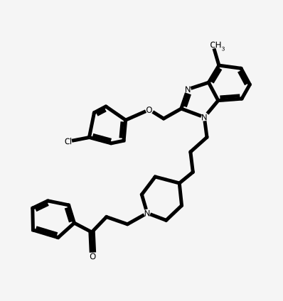 Cc1cccc2c1nc(COc1ccc(Cl)cc1)n2CCCC1CCN(CCC(=O)c2ccccc2)CC1